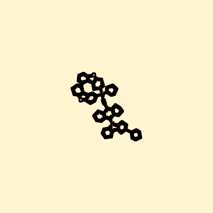 C(#C[Si](c1ccccc1)(c1ccc2oc3ccccc3c2c1)c1ccc2oc3ccccc3c2c1)c1c2ccccc2c(-n2c3ccccc3c3cc(-c4ccccc4)ccc32)c2ccccc12